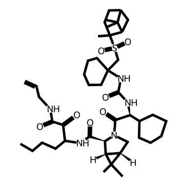 C=CCNC(=O)C(=O)C(CCCC)NC(=O)[C@@H]1[C@@H]2[C@H](CN1C(=O)[C@@H](NC(=O)NC1(CS(=O)(=O)C3(C)CCC4CC3C4(C)C)CCCCC1)C1CCCCC1)C2(C)C